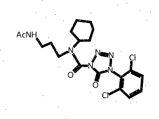 CC(=O)NCCCN(C(=O)n1nnn(-c2c(Cl)cccc2Cl)c1=O)C1CCCCC1